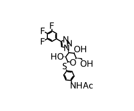 CC(=O)Nc1ccc(S[C@H]2O[C@H](CO)[C@H](O)[C@H](n3cc(-c4cc(F)c(F)c(F)c4)nn3)[C@H]2O)cc1